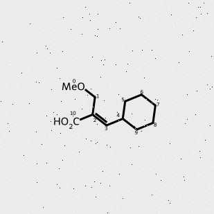 COCC(=CC1CCCCC1)C(=O)O